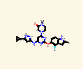 CCN1CCN(c2cc(Nc3cc(C4CC4)[nH]n3)nc(Oc3ccc4[nH]c(C)cc4c3F)n2)CC1=O